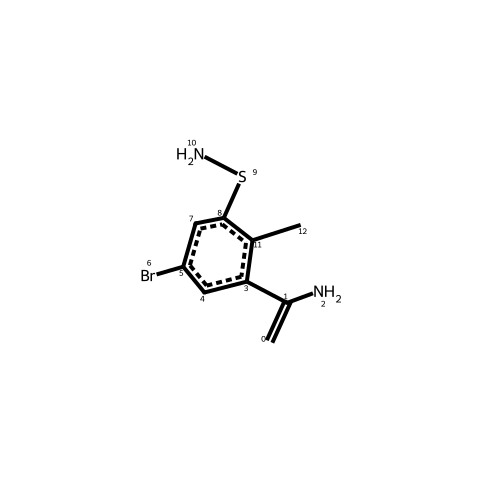 C=C(N)c1cc(Br)cc(SN)c1C